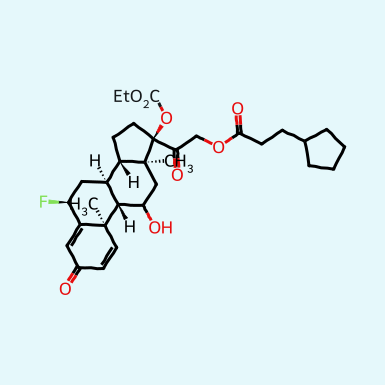 CCOC(=O)O[C@]1(C(=O)COC(=O)CCC2CCCC2)CC[C@H]2[C@@H]3C[C@H](F)C4=CC(=O)C=C[C@]4(C)[C@H]3C(O)C[C@@]21C